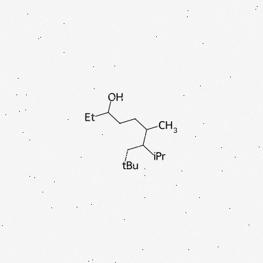 CCC(O)CCC(C)C(CC(C)(C)C)C(C)C